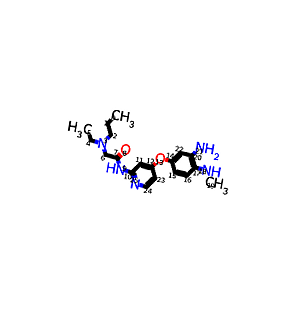 CCCN(CC)CC(=O)Nc1cc(Oc2ccc(NC)c(N)c2)ccn1